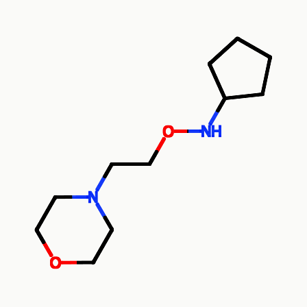 C1CCC(NOCCN2CCOCC2)C1